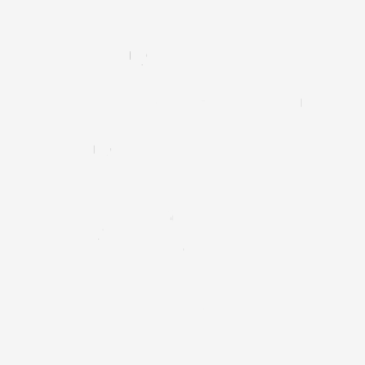 C=C[Si](CCC[Si](C=C)(OCC)OCC)(OCC)OCC